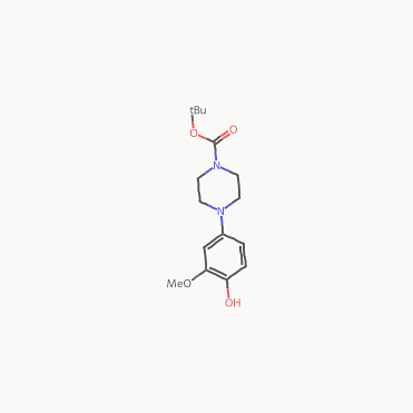 COc1cc(N2CCN(C(=O)OC(C)(C)C)CC2)ccc1O